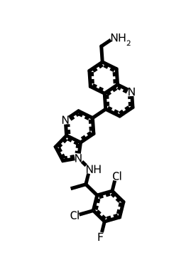 CC(Nn1ccc2ncc(-c3ccnc4cc(CN)ccc34)cc21)c1c(Cl)ccc(F)c1Cl